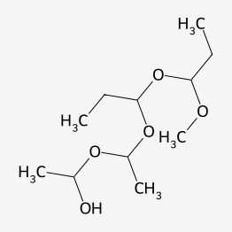 CCC(OC)OC(CC)OC(C)OC(C)O